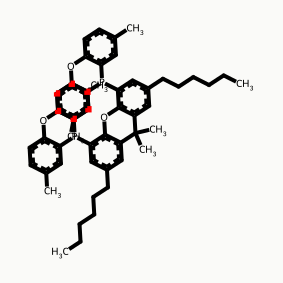 CCCCCCc1cc(P2c3cc(C)ccc3Oc3ccc(C)cc32)c2c(c1)C(C)(C)c1cc(CCCCCC)cc(P3c4cc(C)ccc4Oc4ccc(C)cc43)c1O2